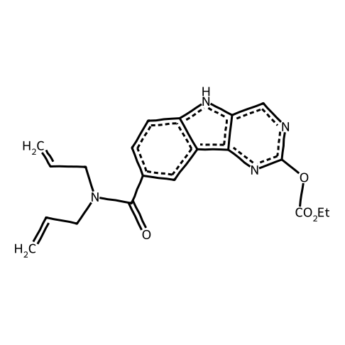 C=CCN(CC=C)C(=O)c1ccc2[nH]c3cnc(OC(=O)OCC)nc3c2c1